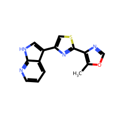 Cc1ocnc1-c1nc(-c2c[nH]c3ncccc23)cs1